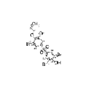 C=CCOc1c(Br)cc(S(=O)(=O)c2cc(Br)c(O)c(Br)c2)cc1Br